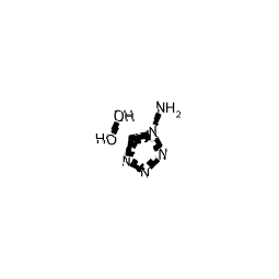 Nn1cnnn1.OO